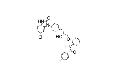 Cc1ccc(C(=O)Nc2ccccc2OCC(O)CN2CCC(n3c(=O)[nH]c4ccc(Cl)cc43)CC2)cc1